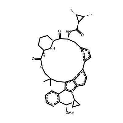 CO[C@@H](C)c1ncccc1-c1c2c3cc(ccc3n1C1CC1)-c1csc(n1)C[C@H](NC(=O)[C@H]1[C@H](C)[C@@H]1C)C(=O)N1CCC[C@H](N1)C(=O)OCC(C)(C)C2